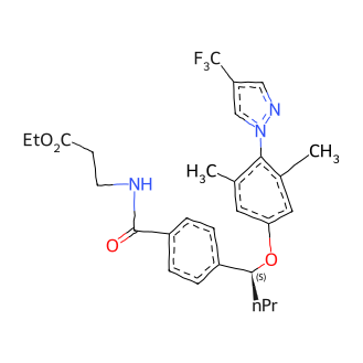 CCC[C@H](Oc1cc(C)c(-n2cc(C(F)(F)F)cn2)c(C)c1)c1ccc(C(=O)NCCC(=O)OCC)cc1